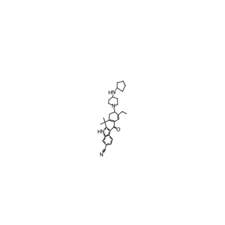 CCC1=CC2=C(CC1N1CCC(NC3CCCC3)CC1)C(C)(C)c1[nH]c3cc(C#N)ccc3c1C2=O